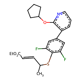 CCOC(=O)C=CC(C)Sc1c(F)cc(-c2cccnc2OC2CCCC2)cc1F